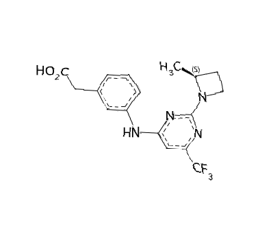 C[C@H]1CCN1c1nc(Nc2cccc(CC(=O)O)c2)cc(C(F)(F)F)n1